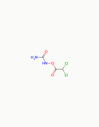 NC(=O)NOC(=O)C(Cl)Cl